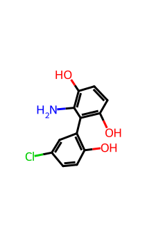 Nc1c(O)ccc(O)c1-c1cc(Cl)ccc1O